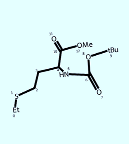 CCSCCC(NC(=O)OC(C)(C)C)C(=O)OC